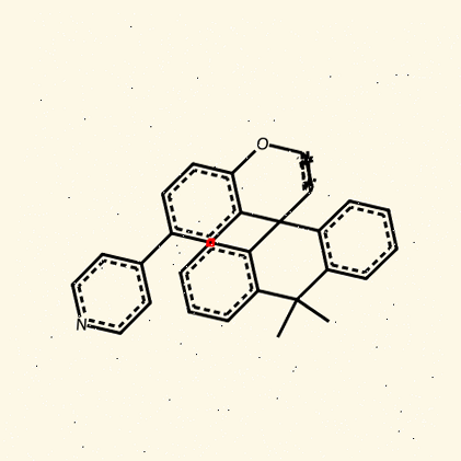 CC1(C)c2ccccc2C2(c3ccccc3Oc3ccc(-c4ccncc4)cc32)c2ccccc21